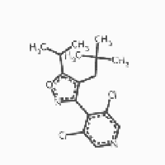 CC(C)c1onc(-c2c(Cl)cncc2Cl)c1CC(C)(C)C